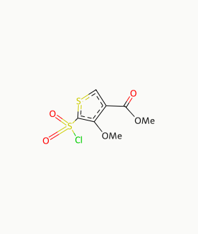 COC(=O)c1csc(S(=O)(=O)Cl)c1OC